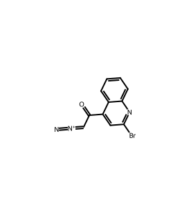 [N-]=[N+]=CC(=O)c1cc(Br)nc2ccccc12